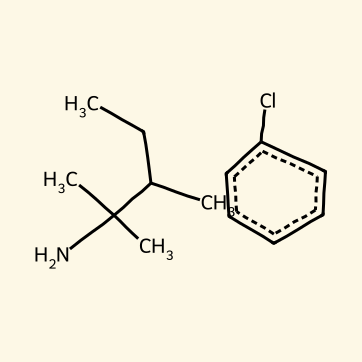 CCC(C)C(C)(C)N.Clc1ccccc1